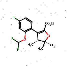 CCOC(=O)C1=C(c2ccc(F)cc2OC(F)F)[C@@H](C)[C@@](C)(C(F)(F)F)O1